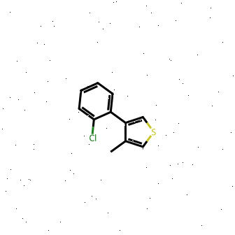 Cc1[c]scc1-c1ccccc1Cl